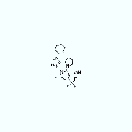 Cc1cccc(-n2cnnc2[C@@H]2CCCN2c2nc(C)cc(C(F)(F)F)c2C#N)c1